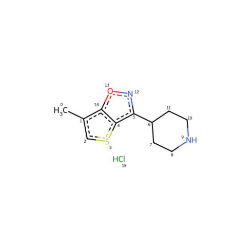 Cc1csc2c(C3CCNCC3)noc12.Cl